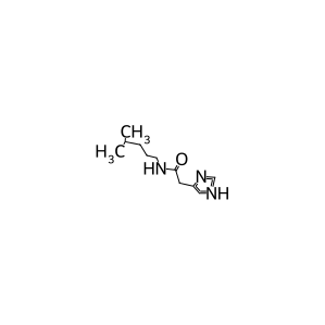 CC(C)CCCNC(=O)Cc1c[nH]cn1